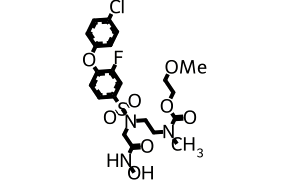 COCCOC(=O)N(C)CCN(CC(=O)NO)S(=O)(=O)c1ccc(Oc2ccc(Cl)cc2)c(F)c1